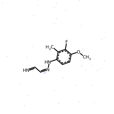 COc1ccc(N/N=C\C=N)c(C)c1F